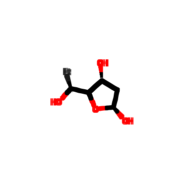 CC[C@H](O)C1O[C@H](O)C[C@H]1O